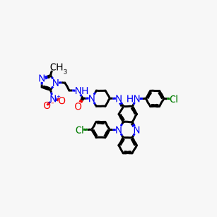 Cc1ncc([N+](=O)[O-])n1CCNC(=O)N1CCC(N=c2cc3n(-c4ccc(Cl)cc4)c4ccccc4nc-3cc2Nc2ccc(Cl)cc2)CC1